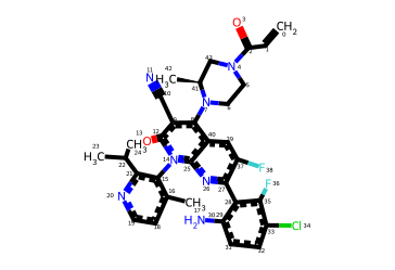 C=CC(=O)N1CCN(c2c(C#N)c(=O)n(-c3c(C)ccnc3C(C)C)c3nc(-c4c(N)ccc(Cl)c4F)c(F)cc23)[C@@H](C)C1